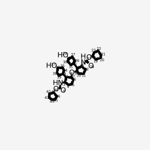 O=C(Nc1cccc(Oc2cccc(NC(=O)Oc3ccccc3)c2-c2ccc(O)cc2)c1-c1ccc(O)cc1)Oc1ccccc1